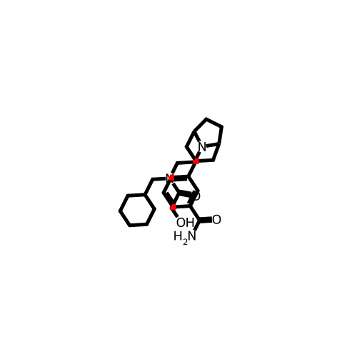 NC(=O)c1cccc(C2CC3CCC(C2)N3CCN(CC2CCCCC2)C(=O)CO)c1